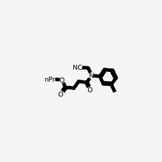 CCCOC(=O)CCC(=O)N(CC#N)c1cccc(C)c1